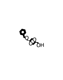 OC[C@H]1CO[C@H](COCc2ccccc2)CO1